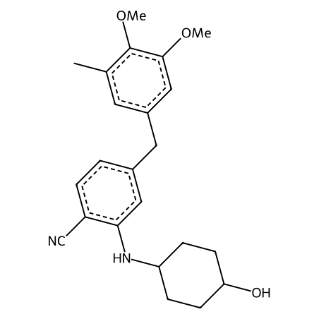 COc1cc(Cc2ccc(C#N)c(NC3CCC(O)CC3)c2)cc(C)c1OC